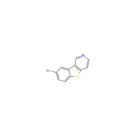 Brc1ccc2sc3ccncc3c2c1